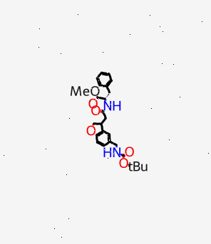 COC(=O)[C@H](Cc1ccccc1)NC(=O)CC1COc2ccc(CNC(=O)OC(C)(C)C)cc21